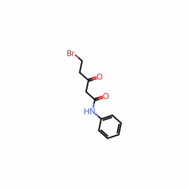 O=C(CCBr)CC(=O)Nc1ccccc1